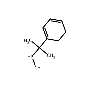 CPC(C)(C)C1=CC=CCC1